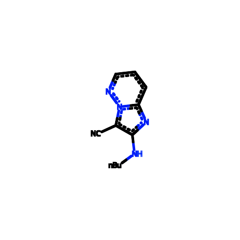 CCCCNc1nc2cccnn2c1C#N